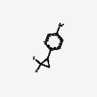 CC(=O)c1ccc(C2CC2(F)F)nc1